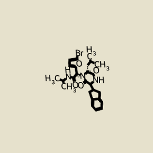 CC(C)C[C@@H]1C(=O)NC(C2Cc3ccccc3C2)C(=O)N1[C@@H](C(=O)NC(C)C)c1ccc(Br)o1